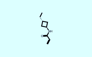 C=CC(=O)N[C@H]1C[C@H](CC)C1